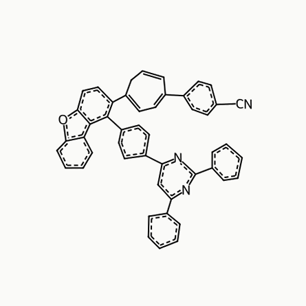 N#Cc1ccc(C2=CC=C(c3ccc4oc5ccccc5c4c3-c3ccc(-c4cc(-c5ccccc5)nc(-c5ccccc5)n4)cc3)CC=C2)cc1